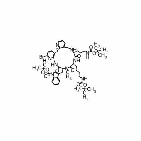 CN1C(=O)[C@H](CCCCNC(=O)OC(C)(C)C)NC(=O)[C@H](CCCNC(=O)OC(C)(C)C)NCc2cccnc2Sc2ccc(Br)nc2CNC(=O)[C@@H]1Cc1cn(C(=O)OC(C)(C)C)c2ccccc12